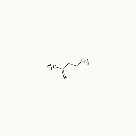 CCCC(C)=[N]